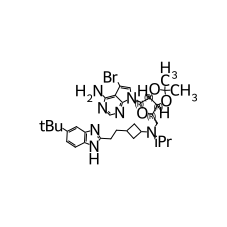 CC(C)N(C[C@H]1O[C@@H](n2cc(Br)c3c(N)ncnc32)[C@@H]2OC(C)(C)O[C@@H]21)C1CC(CCc2nc3cc(C(C)(C)C)ccc3[nH]2)C1